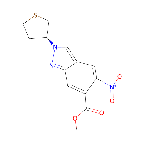 COC(=O)c1cc2nn([C@H]3CCSC3)cc2cc1[N+](=O)[O-]